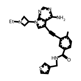 CCN1CC(n2cc(C#Cc3cc(C(=O)NCc4ccsc4)ccc3C)c3c(N)ncnc32)C1